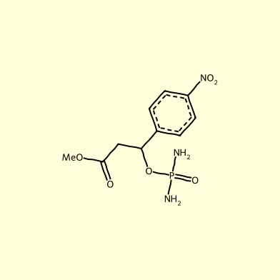 COC(=O)CC(OP(N)(N)=O)c1ccc([N+](=O)[O-])cc1